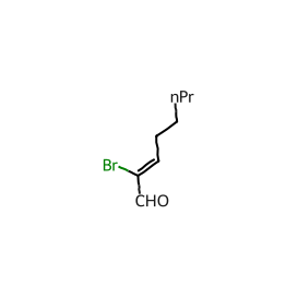 CCCCCC=C(Br)C=O